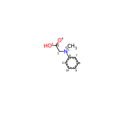 CN(CC(=O)O)c1cc[c]cc1